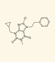 Cn1c(=O)c2c(nc(Cl)n2CCc2ccccc2)n(CC2CC2)c1=O